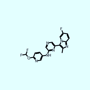 Cc1nc2ccc(F)cn2c1-c1cncc(Nc2ccc(OC(F)F)nc2)n1